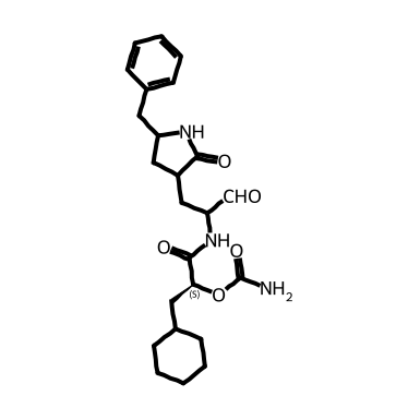 NC(=O)O[C@@H](CC1CCCCC1)C(=O)NC(C=O)CC1CC(Cc2ccccc2)NC1=O